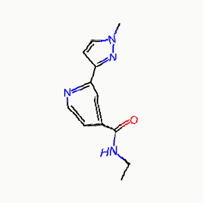 CCNC(=O)c1ccnc(-c2ccn(C)n2)c1